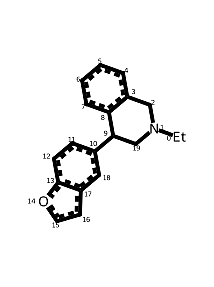 CCN1Cc2ccccc2C(c2ccc3occc3c2)C1